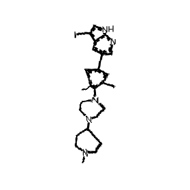 Cc1cc(-c2cnc3[nH]cc(I)c3c2)cc(C)c1N1CCN(C2CCN(C)CC2)CC1